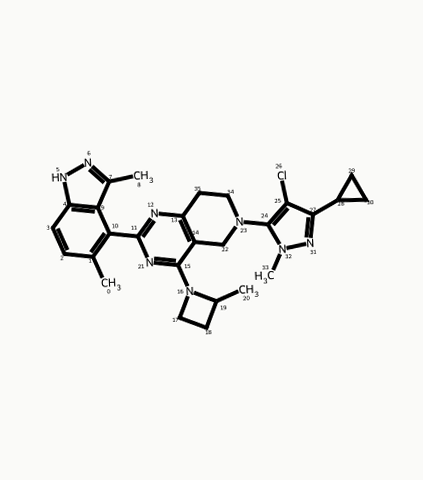 Cc1ccc2[nH]nc(C)c2c1-c1nc2c(c(N3CCC3C)n1)CN(c1c(Cl)c(C3CC3)nn1C)CC2